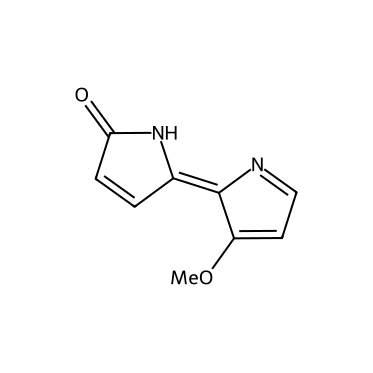 COC1=CC=N/C1=C1/C=CC(=O)N1